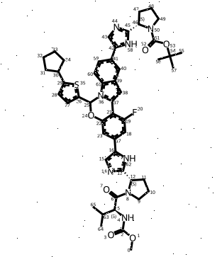 COC(=O)N[C@H](C(=O)N1CCC[C@H]1c1ncc(-c2cc(F)c3c(c2)OC(c2ccc(C4CCCC4)s2)n2c-3cc3cc(-c4cnc([C@@H]5CCCN5C(=O)OC(C)(C)C)[nH]4)ccc32)[nH]1)C(C)C